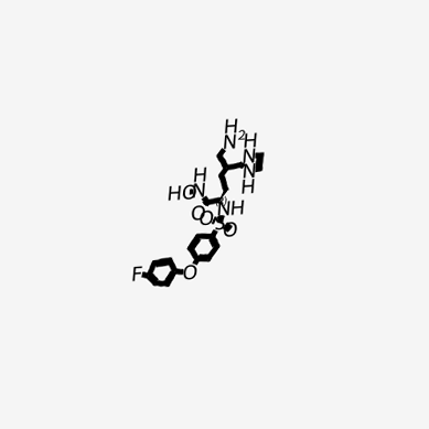 NCC(CC[C@@H](NS(=O)(=O)c1ccc(Oc2ccc(F)cc2)cc1)C(=O)NO)C1NC=CN1